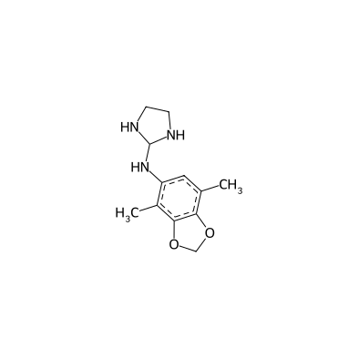 Cc1cc(NC2NCCN2)c(C)c2c1OCO2